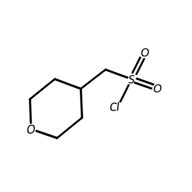 O=S(=O)(Cl)CC1CCOCC1